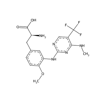 CNc1nc(Nc2cc(C[C@H](N)C(=O)O)ccc2OC)ncc1C(F)(F)F